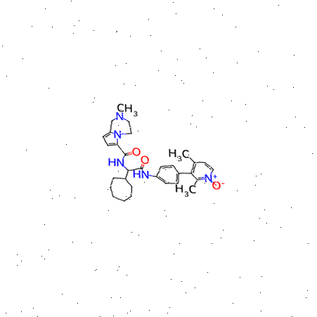 Cc1cc[n+]([O-])c(C)c1-c1ccc(NC(=O)C(NC(=O)c2ccc3n2CCN(C)C3)C2CCCCCC2)cc1